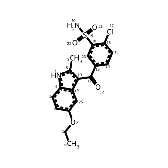 CCOc1ccc2[nH]c(C)c(C(=O)c3ccc(Cl)c(S(N)(=O)=O)c3)c2c1